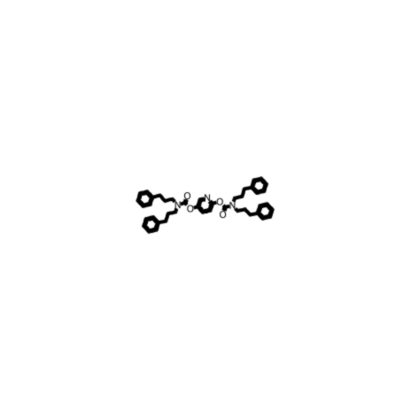 O=C(Oc1ccc(OC(=O)N(CCCc2ccccc2)CCCc2ccccc2)nc1)N(CCCc1ccccc1)CCCc1ccccc1